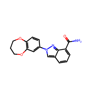 NC(=O)c1cccc2cn(-c3ccc4c(c3)OCCCO4)nc12